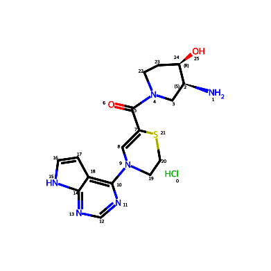 Cl.N[C@H]1CN(C(=O)C2=CN(c3ncnc4[nH]ccc34)CCS2)CC[C@H]1O